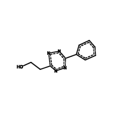 OCCc1nnc(-c2ccccc2)nn1